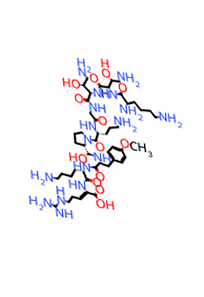 COc1ccc(CC(NC(O)[C@@H]2CCCN2C(=O)[C@@H](CCCN)NC(=O)CNC(=O)[C@@H](NC(=O)[C@@H](NC(=O)[C@@H](N)CCCCN)[C@@H](O)CN)[C@@H](O)CN)C(=O)N[C@@H](CCCCN)C(=O)N/C(=C\CCNC(=N)N)C(=O)O)cc1